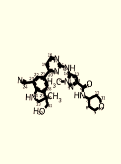 Cn1nc(C(=O)NC2CCOCC2)cc1Nc1nccc(-c2cc(C#N)c3c(c2)C(C)(CO)CN3)n1